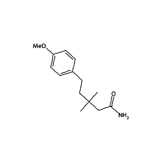 COc1ccc(CCC(C)(C)CC(N)=O)cc1